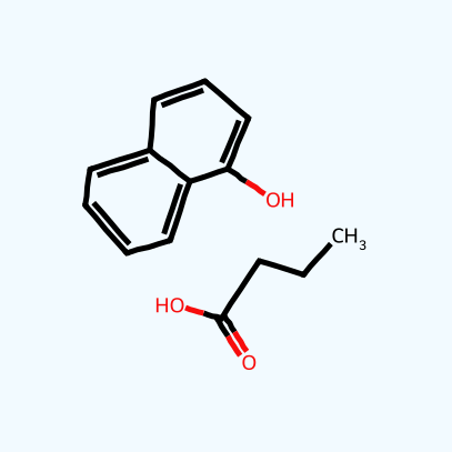 CCCC(=O)O.Oc1cccc2ccccc12